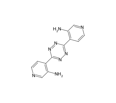 Nc1cnccc1-c1nnc(-c2ccncc2N)nn1